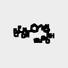 CC(C)(C)OC(=O)Nc1cnn(Cc2ccc(-c3noc(C(F)(F)Cl)n3)cc2)c1